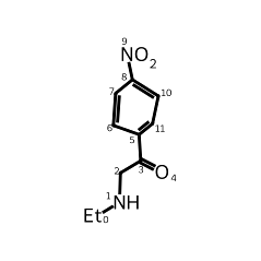 CCNCC(=O)c1ccc([N+](=O)[O-])cc1